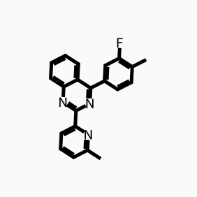 Cc1cccc(-c2nc(-c3ccc(C)c(F)c3)c3ccccc3n2)n1